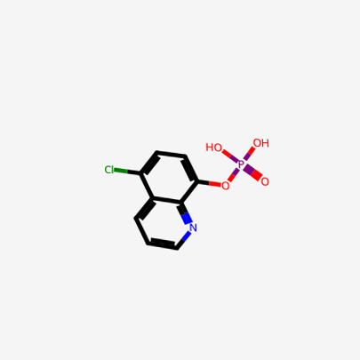 O=P(O)(O)Oc1ccc(Cl)c2cccnc12